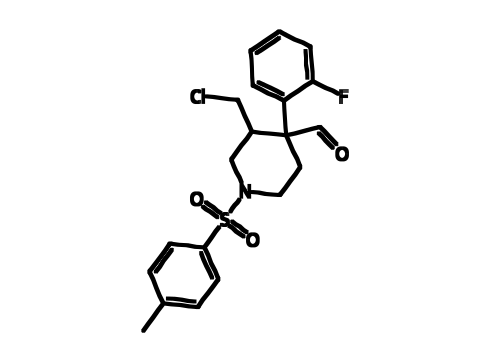 Cc1ccc(S(=O)(=O)N2CCC(C=O)(c3ccccc3F)C(CCl)C2)cc1